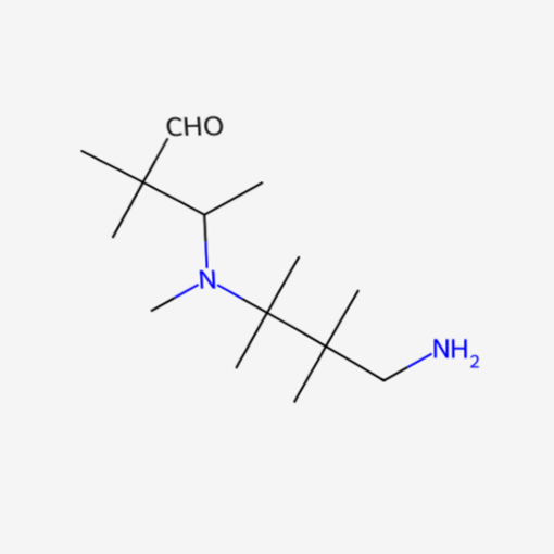 CC(N(C)C(C)(C)C(C)(C)CN)C(C)(C)C=O